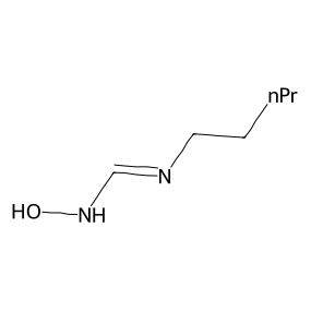 CCCCCN=CNO